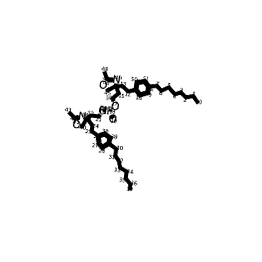 CCCCCCCCc1ccc(CCC2(CCO[PH](=O)OCCC3(CCc4ccc(CCCCCCCC)cc4)COC(C)=N3)COC(C)=N2)cc1